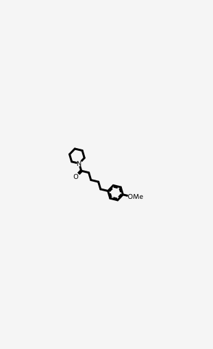 COc1ccc(CCCCC(=O)N2CCCCC2)cc1